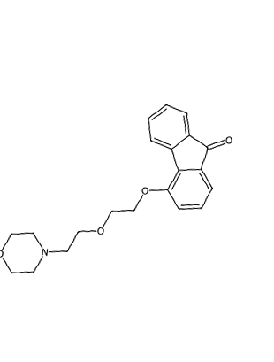 O=C1c2ccccc2-c2c(OCCOCCN3CCOCC3)cccc21